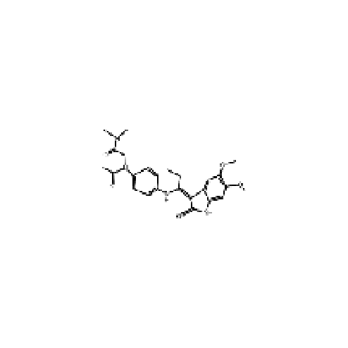 CC/C(Nc1ccc(N(CC(=O)N(C)C)C(C)=O)cc1)=C1/C(=O)Nc2cc(OC)c(OC)cc21